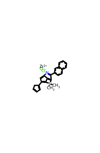 C[Si]1(C)C2=C(C3=CC=CC3)C=C3N=C(c4ccc5ccccc5c4)C1=C32.[Cl-].[Cl-].[Zr+2]